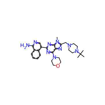 Cn1c(CN2CCN(C(C)(C)C)CC2)nc2c(N3CCOCC3)nc(-c3cnc(N)c4ccccc34)nc21